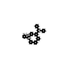 C[Si]1(C)c2ccccc2-c2nc(-c3cccc(-c4cccc(-c5cccc(-c6cccc(-c7cc(-c8ccccc8)nc(-c8ccccc8)n7)c6)c5)c4)c3)nc(-c3ccccc3)c21